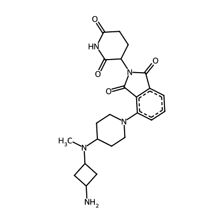 CN(C1CCN(c2cccc3c2C(=O)N(C2CCC(=O)NC2=O)C3=O)CC1)C1CC(N)C1